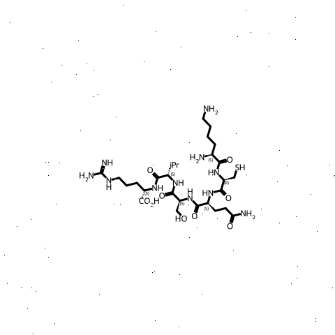 CC(C)[C@H](NC(=O)[C@H](CO)NC(=O)[C@H](CCC(N)=O)NC(=O)[C@H](CS)NC(=O)[C@@H](N)CCCCN)C(=O)N[C@@H](CCCNC(=N)N)C(=O)O